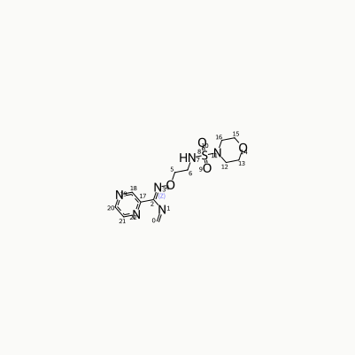 C=N/C(=N\OCCNS(=O)(=O)N1CCOCC1)c1cnccn1